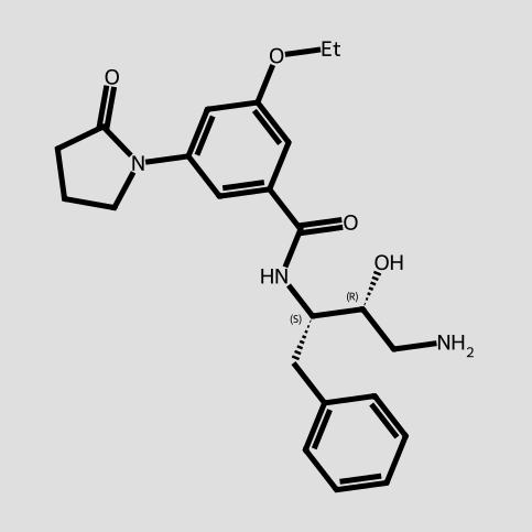 CCOc1cc(C(=O)N[C@@H](Cc2ccccc2)[C@H](O)CN)cc(N2CCCC2=O)c1